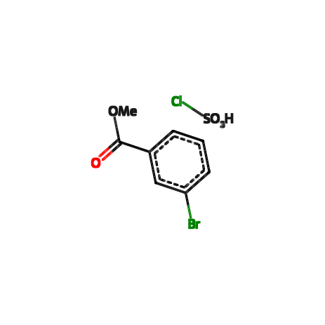 COC(=O)c1cccc(Br)c1.O=S(=O)(O)Cl